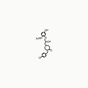 CC(=O)Nc1ccc(O)cc1OCC(O)CN1CCC(=O)N(Cc2ccc(Cl)cc2)CC1